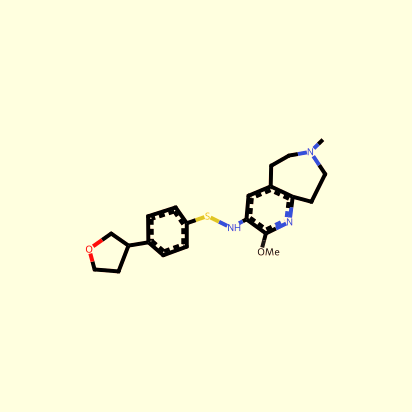 COc1nc2c(cc1NSc1ccc(C3CCOC3)cc1)CCN(C)CC2